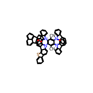 N#Cc1c(-n2c3ccccc3c3ccccc32)c(-n2c3ccccc3c3ccccc32)c(C#N)c(-n2c3ccc(-c4cccc5cccc(-c6ccccc6)c45)cc3c3c4sc5ccccc5c4ccc32)c1-n1c2ccccc2c2ccccc21